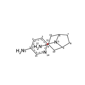 Nc1ccc(N2C3CCC2CC(N)C3)nc1